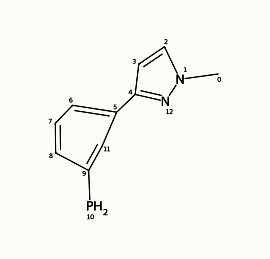 Cn1ccc(-c2cccc(P)c2)n1